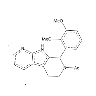 COc1cccc(C2c3[nH]c4ncccc4c3CCN2C(C)=O)c1OC